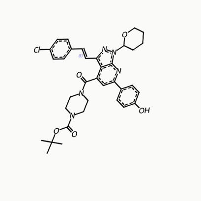 CC(C)(C)OC(=O)N1CCN(C(=O)c2cc(-c3ccc(O)cc3)nc3c2c(/C=C/c2ccc(Cl)cc2)nn3C2CCCCO2)CC1